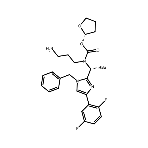 CC(C)(C)[C@H](c1nc(-c2cc(F)ccc2F)cn1Cc1ccccc1)N(CCCN)C(=O)O[C@H]1CCCO1